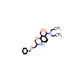 CCN(CC)C(=O)c1ccc2c(c1C=O)OCC(COCc1ccccc1)N2